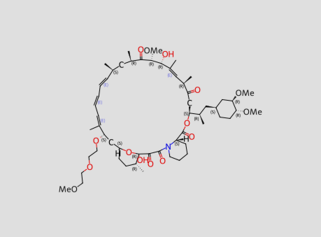 COCCOCCO[C@H]1C[C@@H]2CC[C@@H](C)[C@@](O)(O2)C(=O)C(=O)N2CCCC[C@H]2C(=O)O[C@H]([C@H](C)C[C@@H]2CC[C@@H](OC)[C@H](OC)C2)CC(=O)[C@H](C)/C=C(\C)[C@@H](O)[C@@H](OC)C(=O)[C@H](C)C[C@H](C)/C=C/C=C/C=C/1C